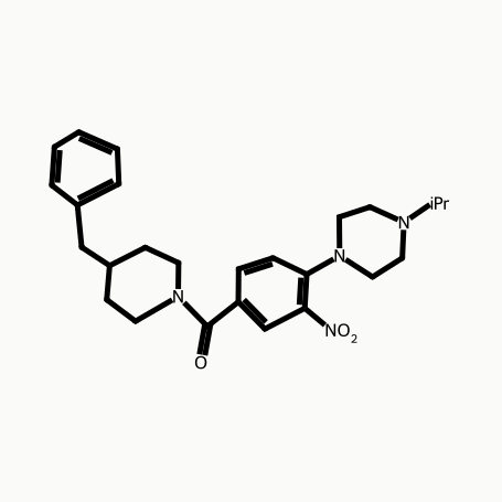 CC(C)N1CCN(c2ccc(C(=O)N3CCC(Cc4ccccc4)CC3)cc2[N+](=O)[O-])CC1